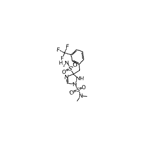 CN(C)S(=O)(=O)N1C=NC(Cc2cccc(C(F)(F)F)c2)(S(N)(=O)=O)N1